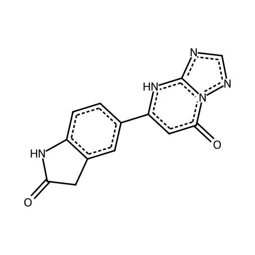 O=C1Cc2cc(-c3cc(=O)n4ncnc4[nH]3)ccc2N1